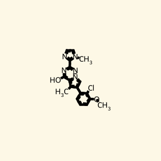 COc1cccc(-c2cn3nc(-c4nccn4C)nc(O)c3c2C)c1Cl